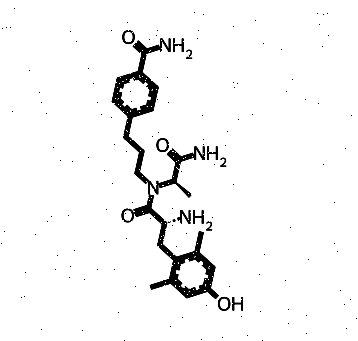 Cc1cc(O)cc(C)c1C[C@@H](N)C(=O)N(CCCc1ccc(C(N)=O)cc1)[C@H](C)C(N)=O